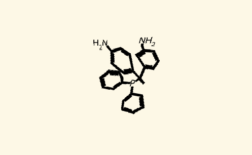 CC(c1ccc(N)cc1)(c1cccc(N)c1)P(c1ccccc1)c1ccccc1